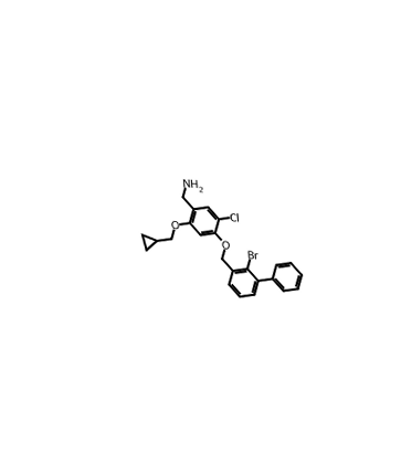 NCc1cc(Cl)c(OCc2cccc(-c3ccccc3)c2Br)cc1OCC1CC1